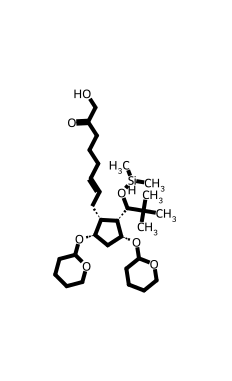 C[SiH](C)OC([C@H]1[C@@H](CC=CCCCC(=O)CO)[C@@H](OC2CCCCO2)C[C@H]1OC1CCCCO1)C(C)(C)C